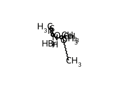 Br.CCCCCCCCCCCCCCOc1cc(CC(=O)Nc2ccc(CN3C=C(C)SC3)cc2)ccc1C(C)(C)C